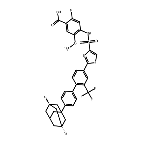 COc1cc(C(=O)O)c(F)cc1NS(=O)(=O)c1csc(-c2ccc(-c3ccc(C45CC6C[C@H](C4)C[C@H](C6)C5)cc3)c(C(F)(F)F)c2)n1